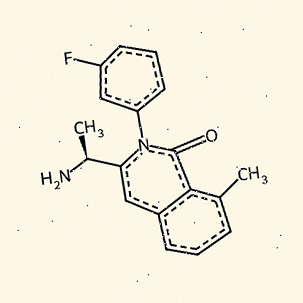 Cc1cccc2cc([C@H](C)N)n(-c3cccc(F)c3)c(=O)c12